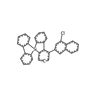 Clc1cc(-c2cccc3c2-c2ccccc2[Si]32c3ccccc3-c3ccccc32)cc2ccccc12